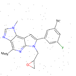 [C-]#[N+]c1cc(F)cc(-c2cc3c4c(ncn4C)c(NC)nc3n2CC2CO2)c1